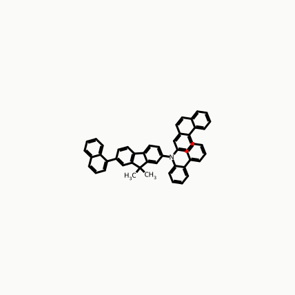 CC1(C)c2cc(-c3cccc4ccccc34)ccc2-c2ccc(N(c3ccc4c(ccc5ccccc54)c3)c3ccccc3-c3ccccc3)cc21